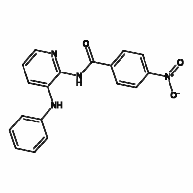 O=C(Nc1ncccc1Nc1ccccc1)c1ccc([N+](=O)[O-])cc1